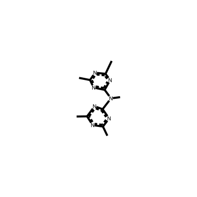 Cc1nc(C)nc(N(C)c2nc(C)nc(C)n2)n1